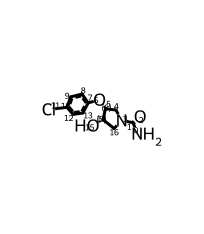 NC(=O)N1C[C@H](Oc2ccc(Cl)cc2)[C@@H](O)C1